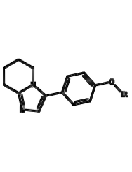 CCOc1ccc(-c2cnc3n2CCCC3)cc1